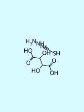 N.N.N#CS.O=C(O)C(O)C(O)C(=O)O